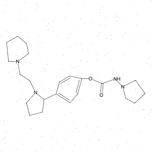 O=C(NN1CCCC1)Oc1ccc(C2CCCN2CCN2CCCCC2)cc1